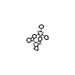 c1ccc(-c2nc(-c3ccccc3)nc(-c3ccc4c5ccccc5n(-c5nc6ccccc6c6nc7ccccc7n56)c4c3)n2)cc1